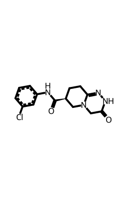 O=C1CN2C[C@@H](C(=O)Nc3cccc(Cl)c3)CCC2=NN1